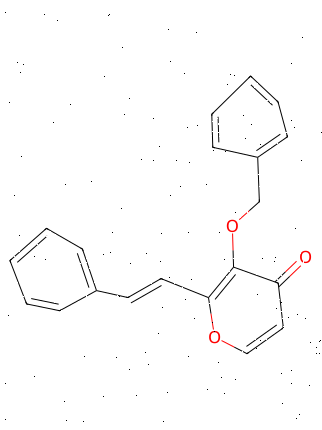 O=c1ccoc(/C=C/c2ccccc2)c1OCc1ccccc1